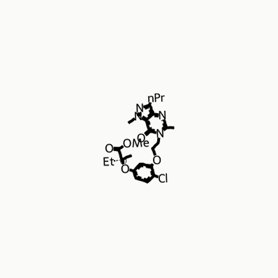 CCCc1nn(C)c2c(=O)n(CCOc3cc(O[C@@](C)(CC)C(=O)OC)ccc3Cl)c(C)nc12